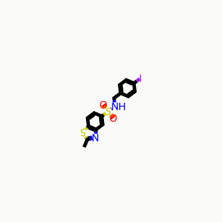 Cc1nc2cc(S(=O)(=O)NCc3ccc(I)cc3)ccc2s1